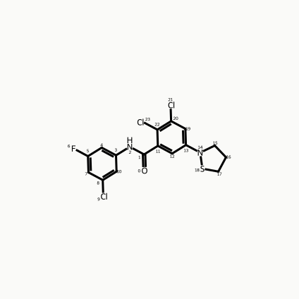 O=C(Nc1cc(F)cc(Cl)c1)c1cc(N2CCCS2)cc(Cl)c1Cl